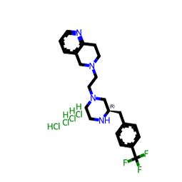 Cl.Cl.Cl.Cl.FC(F)(F)c1ccc(C[C@@H]2CN(CCN3CCc4ncccc4C3)CCN2)cc1